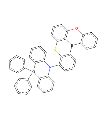 c1ccc([Si]2(c3ccccc3)c3ccccc3N(c3cccc4c3Sc3cccc5c3B4c3ccccc3O5)c3ccccc32)cc1